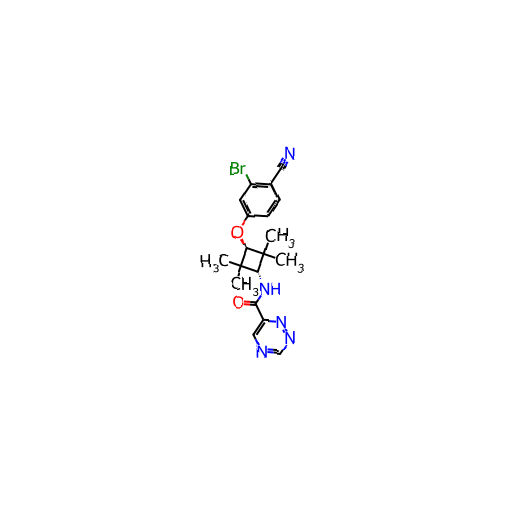 CC1(C)[C@H](NC(=O)c2cncnn2)C(C)(C)[C@H]1Oc1ccc(C#N)c(Br)c1